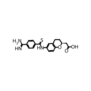 N=C(N)c1ccc(C(=S)Nc2ccc3c(c2)CC[C@@H](CC(=O)O)O3)cc1